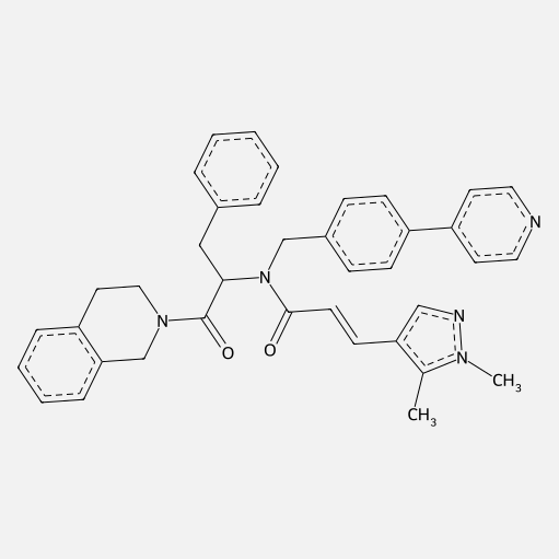 Cc1c(C=CC(=O)N(Cc2ccc(-c3ccncc3)cc2)C(Cc2ccccc2)C(=O)N2CCc3ccccc3C2)cnn1C